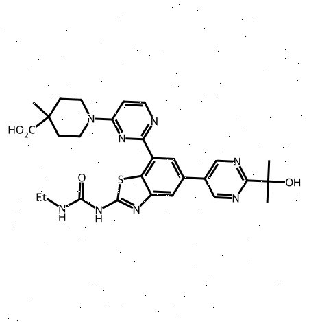 CCNC(=O)Nc1nc2cc(-c3cnc(C(C)(C)O)nc3)cc(-c3nccc(N4CCC(C)(C(=O)O)CC4)n3)c2s1